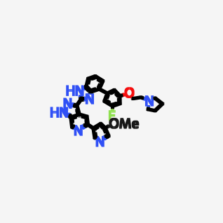 COc1cncc(-c2cc3c(-c4nc5c(-c6cc(F)cc(OCCN7CCCC7)c6)cccc5[nH]4)n[nH]c3cn2)c1